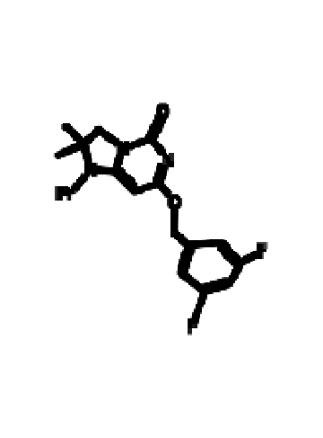 CC(C)N1c2cc(OCc3cc(F)cc(F)c3)nc(=O)n2CC1(C)C